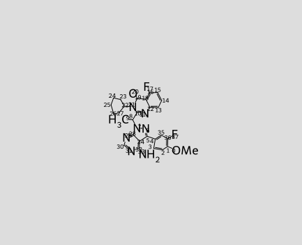 COc1ccc(-c2nn(C(C)c3nc4cccc(F)c4c(=O)n3C3CCCCC3)c3ncnc(N)c23)cc1F